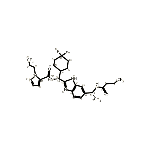 C[C@@H](NC(=O)CCC(F)(F)F)c1ccc2nc([C@@H](NC(=O)c3ccnn3CCC(F)(F)F)C3CCC(F)(F)CC3)[nH]c2c1